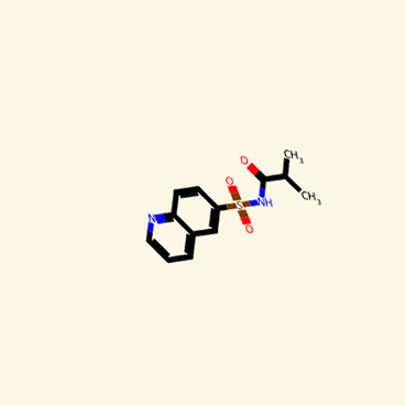 CC(C)C(=O)NS(=O)(=O)c1ccc2ncccc2c1